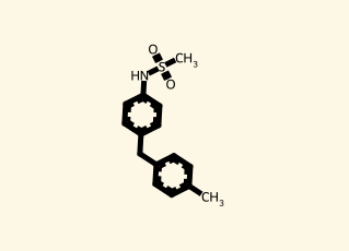 Cc1ccc(Cc2ccc(NS(C)(=O)=O)cc2)cc1